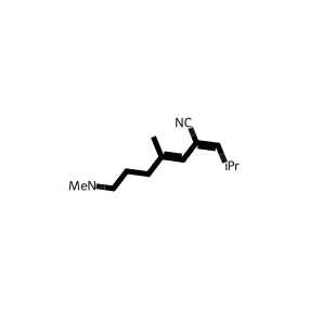 CNCCC/C(C)=C/C(C#N)=C\C(C)C